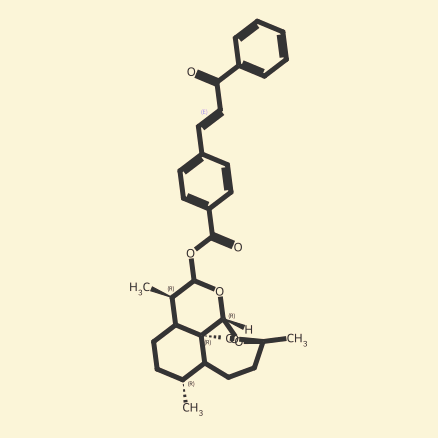 C[C@H]1C(OC(=O)c2ccc(/C=C/C(=O)c3ccccc3)cc2)O[C@@H]2OC3(C)CCC4[C@H](C)CCC1[C@]42OO3